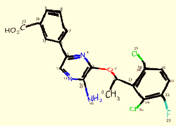 CC(Oc1nc(-c2cccc(C(=O)O)c2)cnc1N)c1c(Cl)ccc(F)c1Cl